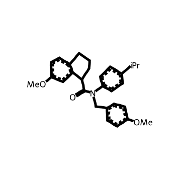 COc1ccc(CN(C(=O)C2CCCc3ccc(OC)cc32)c2ccc(C(C)C)cc2)cc1